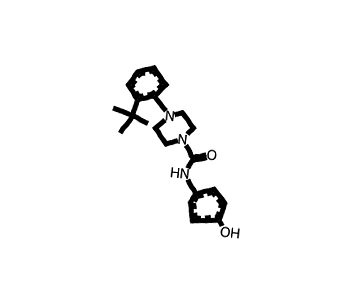 CC(C)(C)c1ccccc1N1CCN(C(=O)Nc2ccc(O)cc2)CC1